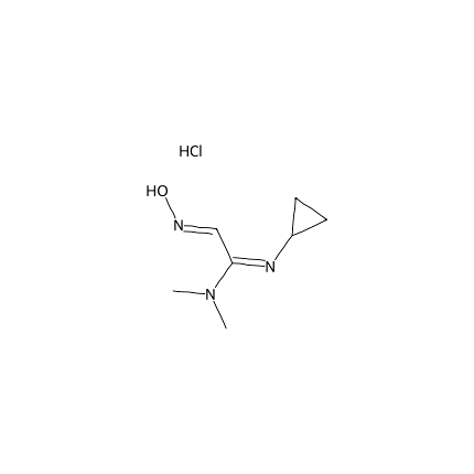 CN(C)C(/C=N/O)=N/C1CC1.Cl